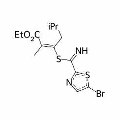 CCOC(=O)/C(C)=C(\CC(C)C)SC(=N)c1ncc(Br)s1